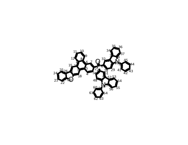 O=P(c1ccc2c(c1)c1ccccc1c1cc3c(cc21)oc1ccccc13)(c1ccc2c(c1)c1ccccc1n2-c1ccccc1)c1ccc2c(c1)c1ccccc1n2-c1ccccc1